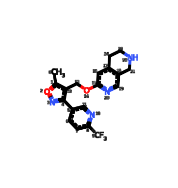 Cc1onc(-c2ccc(C(F)(F)F)nc2)c1COc1cc2c(cn1)CNCC2